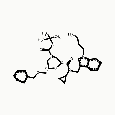 CCCCn1cc(CN(C(=O)[C@H]2CN(C(=O)OC(C)(C)C)C[C@@H](COCc3ccccc3)O2)C2CC2)c2ccccc21